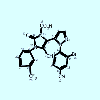 Cc1c(-c2ccnn2-c2ccc(C#N)cc2Br)n(C(=O)O)c(=O)n1-c1cccc(C(F)(F)F)c1